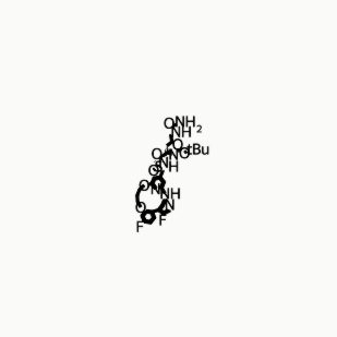 CC(C)(C)OC(=O)N[C@@H](CCCNC(N)=O)C(=O)N=S(C)(=O)Cc1cc2nc(c1)OCCCOc1cc(F)ccc1-c1cc(ncc1F)N2